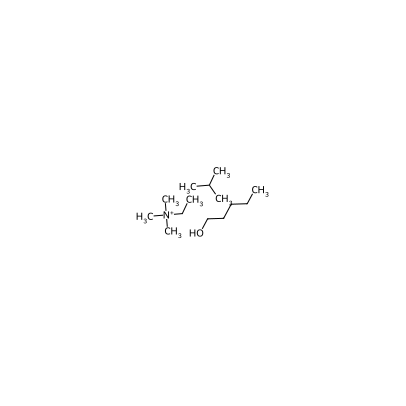 CC(C)C.CCCCCO.CC[N+](C)(C)C